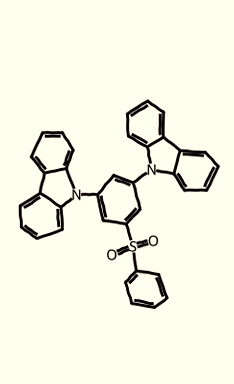 O=S(=O)(c1ccccc1)c1cc(-n2c3ccccc3c3ccccc32)cc(-n2c3ccccc3c3ccccc32)c1